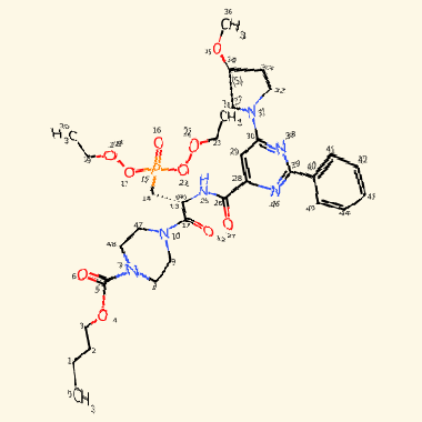 CCCCOC(=O)N1CCN(C(=O)[C@H](CP(=O)(OOCC)OOCC)NC(=O)c2cc(N3CC[C@H](OC)C3)nc(-c3ccccc3)n2)CC1